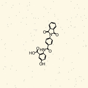 O=C(Nc1ccc(O)cc1C(=O)O)c1ccc(N2C(=O)c3ccccc3C2=O)cc1